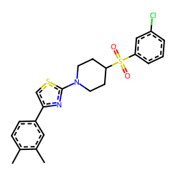 Cc1ccc(-c2csc(N3CCC(S(=O)(=O)c4cccc(Cl)c4)CC3)n2)cc1C